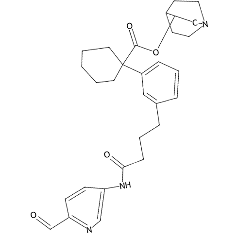 O=Cc1ccc(NC(=O)CCCc2cccc(C3(C(=O)OC4CN5CCC4CC5)CCCCC3)c2)cn1